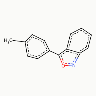 Cc1ccc(-c2onc3ccccc23)cc1